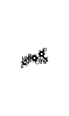 Cn1nccc1-c1cc(Cl)ccc1Oc1ccc(S(=O)(=O)Nc2ncc(F)cn2)cc1C#N